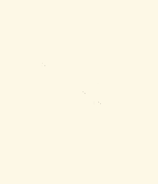 c1ccc2c(Nc3nc(-c4ccc(N5CCCC5)cc4)cs3)cccc2c1